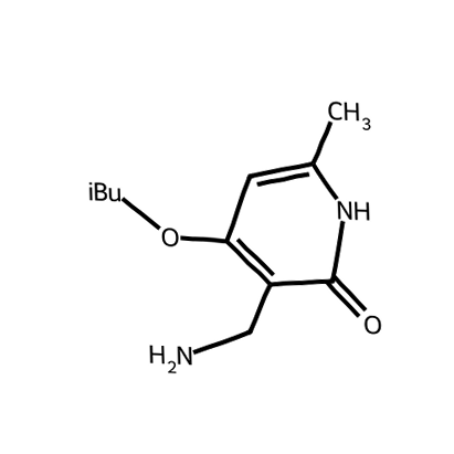 CCC(C)Oc1cc(C)[nH]c(=O)c1CN